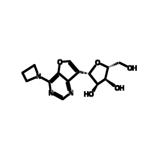 OC[C@H]1O[C@@H](c2coc3c(N4CCC4)ncnc23)[C@H](O)[C@@H]1O